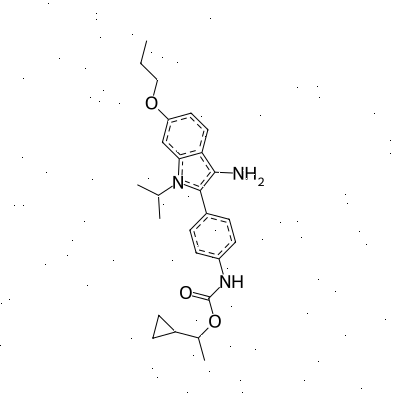 CCCOc1ccc2c(N)c(-c3ccc(NC(=O)OC(C)C4CC4)cc3)n(C(C)C)c2c1